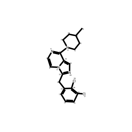 C[C]1CCN(c2nccn3c(Cc4cccc(Cl)c4Cl)ncc23)CC1